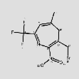 CC1=CC(C(F)(F)F)=NC([N+](=O)[O-])=C(CBr)C1